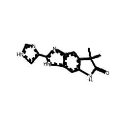 CC1(C)C(=O)Nc2cc3[nH]c(-c4c[nH]cn4)nc3cc21